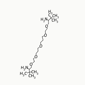 CC(C)(C)C(N)COCCOCCCOCCCOCCOCC(N)C(C)(C)C